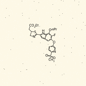 CCCOc1c(F)c(Oc2ccc(S(C)(=O)=O)nc2)cc2cc(C3=NCC(CC(=O)OCC)S3)[nH]c12